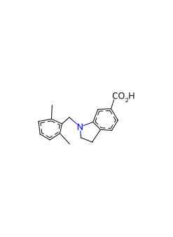 Cc1cccc(C)c1CN1CCc2ccc(C(=O)O)cc21